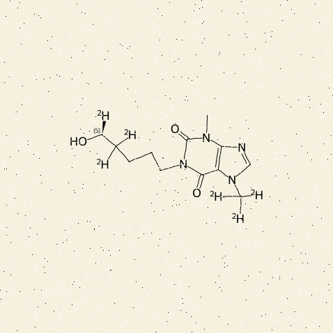 [2H][C@H](O)C([2H])([2H])CCCn1c(=O)c2c(ncn2C([2H])([2H])[2H])n(C)c1=O